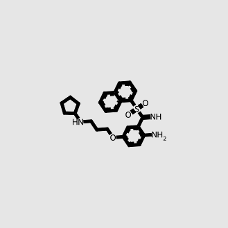 N=C(c1cc(OCCCNC2CCCC2)ccc1N)S(=O)(=O)c1cccc2ccccc12